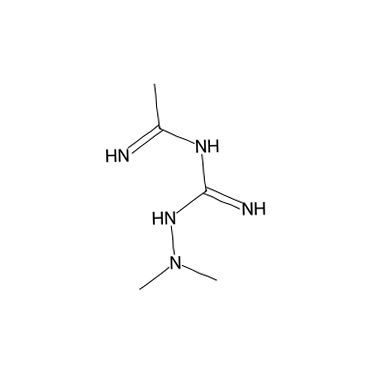 CC(=N)NC(=N)NN(C)C